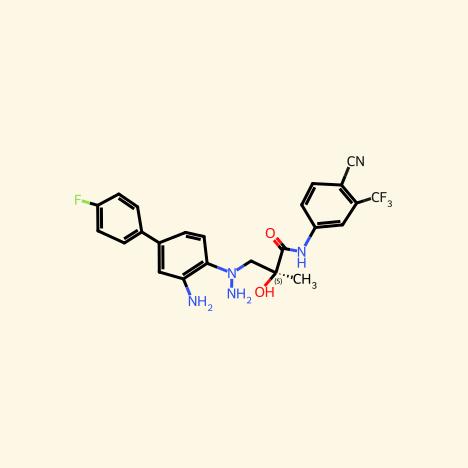 C[C@](O)(CN(N)c1ccc(-c2ccc(F)cc2)cc1N)C(=O)Nc1ccc(C#N)c(C(F)(F)F)c1